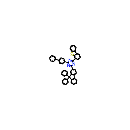 c1ccc(-c2ccc(-c3nc(-c4ccc5c(c4)C(c4ccccc4)(c4ccccc4)c4ccccc4-5)nc(-c4cccc5c4sc4ccccc45)n3)cc2)cc1